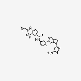 Cc1ccc(NC(=O)c2ccc(N(C)CCN(C)C)c(C(F)(F)F)c2)cc1-c1cc2c(ccn2-c2cc(N)ncn2)cn1